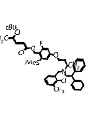 C=C(/C=C/C(=O)OCc1c(F)cc(OCC[C@@H](C)N(Cc2cccc(C(F)(F)F)c2Cl)CC(C2=CCCC=C2)c2ccccc2)cc1SC)OC(C)(C)C